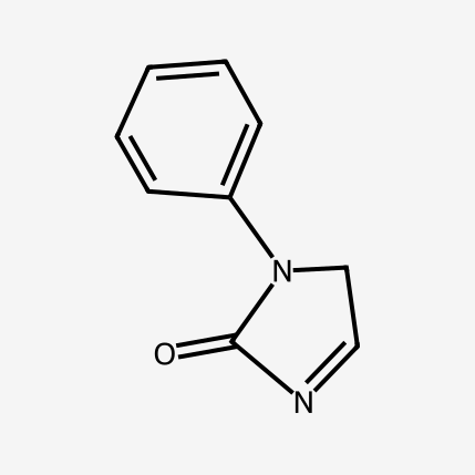 O=C1N=CCN1c1ccccc1